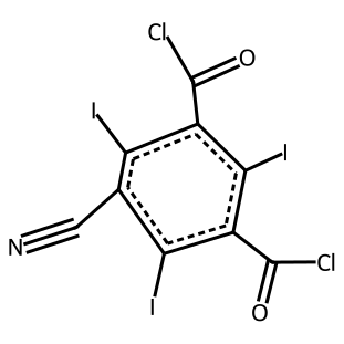 N#Cc1c(I)c(C(=O)Cl)c(I)c(C(=O)Cl)c1I